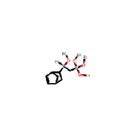 CCO[Si](C[Si](CC)(OCC)C1CC2C=CC1C2)(OCC)OCC